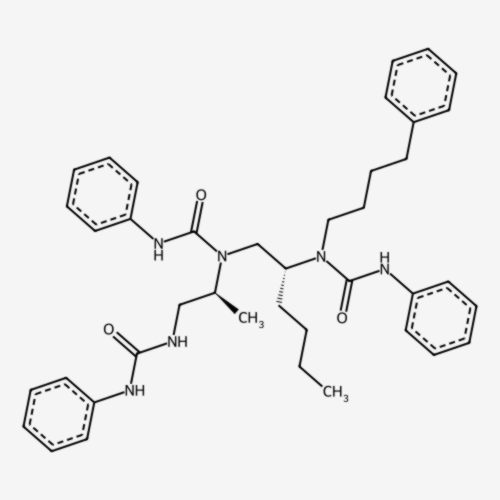 CCCC[C@H](CN(C(=O)Nc1ccccc1)[C@@H](C)CNC(=O)Nc1ccccc1)N(CCCCc1ccccc1)C(=O)Nc1ccccc1